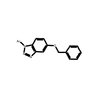 CC(=O)n1nnc2cc(OCc3ccccc3)ccc21